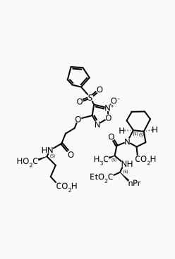 CCC[C@H](N[C@@H](C)C(=O)N1C(C(=O)O)C[C@@H]2CCCC[C@@H]21)C(=O)OCC.O=C(O)CC[C@H](NC(=O)CCOc1no[n+]([O-])c1S(=O)(=O)c1ccccc1)C(=O)O